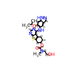 CC(C)Oc1cc2[nH]ncc2cc1Nc1ncnc2sc3c(c12)CCC(OC(=O)N(C)CCO)C3